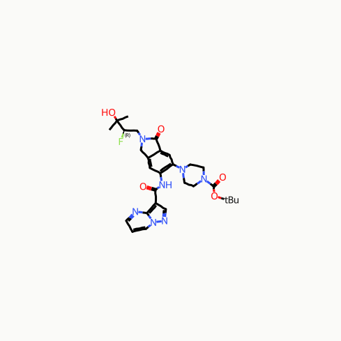 CC(C)(C)OC(=O)N1CCN(c2cc3c(cc2NC(=O)c2cnn4cccnc24)CN(C[C@@H](F)C(C)(C)O)C3=O)CC1